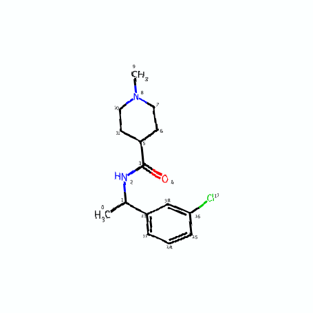 CC(NC(=O)C1CCN(C)CC1)c1cccc(Cl)c1